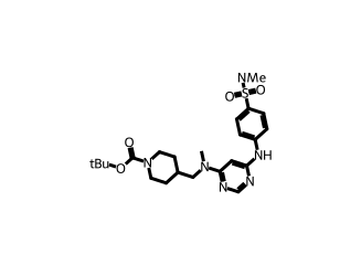 CNS(=O)(=O)c1ccc(Nc2cc(N(C)CC3CCN(C(=O)OC(C)(C)C)CC3)ncn2)cc1